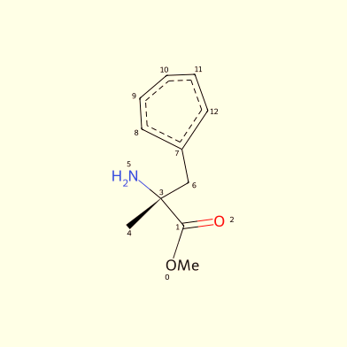 COC(=O)[C@](C)(N)Cc1ccccc1